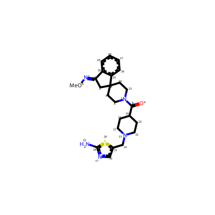 CO/N=C1\CC2(CCN(C(=O)C3CCN(Cc4cnc(N)s4)CC3)CC2)c2ccccc21